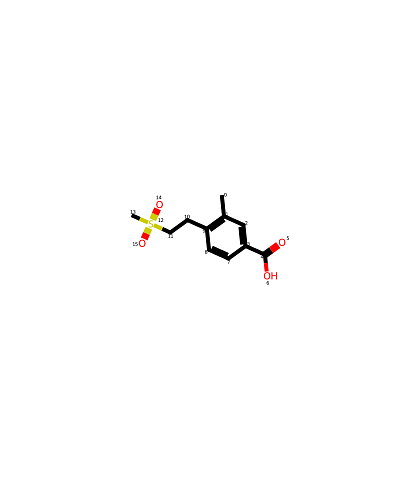 Cc1cc(C(=O)O)ccc1CCS(C)(=O)=O